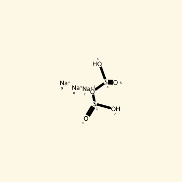 O=S(O)OS(=O)O.[Na+].[Na+].[Na+]